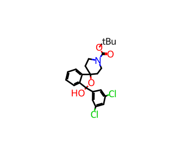 CC(C)(C)OC(=O)N1CCC2(CC1)OC(O)(c1cc(Cl)cc(Cl)c1)c1ccccc12